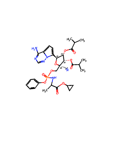 CC(C)C(=O)O[C@H]1[C@H](c2ccc3c(N)ncnn23)O[C@](C#N)(COP(=O)(NC(C)C(=O)OC2CC2)Oc2ccccc2)[C@H]1OC(=O)C(C)C